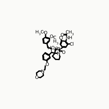 COc1ccc(CC[C@H](c2cccc(OCCN3CCOCC3)c2)C2(C(=O)O)CCCCN2S(=O)(=O)c2cc(Cl)c(NC(C)=O)c(Cl)c2)cc1OC